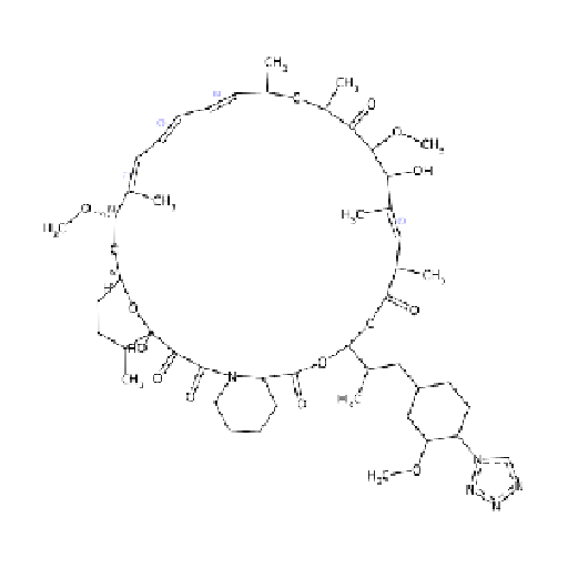 COC1CC(CC(C)C2CC(=O)C(C)/C=C(\C)C(O)C(OC)C(=O)C(C)CC(C)/C=C/C=C/C=C(\C)[C@@H](OC)C[C@@H]3CCC(C)C(O)(O3)C(=O)C(=O)N3CCCCC3C(=O)O2)CCC1n1cnnn1